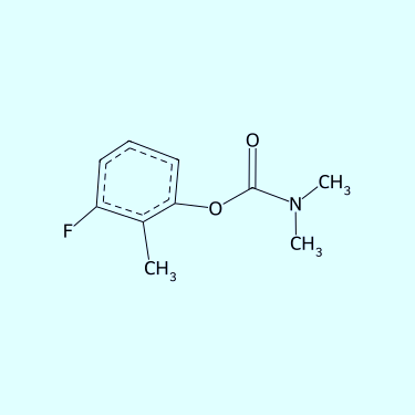 Cc1c(F)cccc1OC(=O)N(C)C